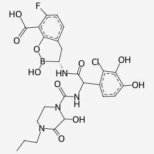 CCCN1CCN(C(=O)NC(C(=O)N[C@H]2Cc3ccc(F)c(C(=O)O)c3OB2O)c2ccc(O)c(O)c2Cl)C(O)C1=O